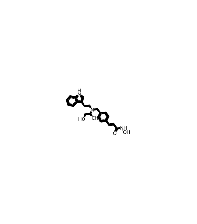 CC(CO)N(CCc1c[nH]c2ccccc12)Cc1ccc(/C=C/C(=O)NO)cc1